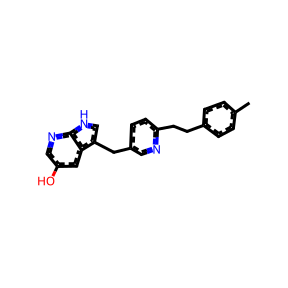 Cc1ccc(CCc2ccc(Cc3c[nH]c4ncc(O)cc34)cn2)cc1